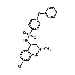 CN(C)C[C@H](NS(=O)(=O)c1ccc(Oc2ccccc2)cc1)c1ccc(Cl)cc1